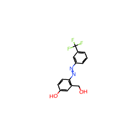 OCc1cc(O)ccc1/N=N/c1cccc(C(F)(F)F)c1